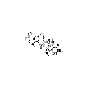 CCCN1CCC2CN(C)c3c(cc(O)c4c3C[C@H]3C[C@@H]5[C@@H](N(C)C)C(O)=C(C(N)=O)C(=O)[C@@]5(O)C(O)=C3C4=O)C21